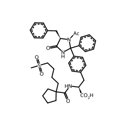 CC(=O)N1[C@H](Cc2ccccc2)C(=O)NC1(c1ccccc1)c1ccc(C[C@H](NC(=O)C2(CCCCS(C)(=O)=O)CCCC2)C(=O)O)cc1